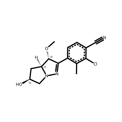 CO[C@@H]1C(c2ccc(C#N)c(Cl)c2C)=NN2C[C@@H](O)C[C@@H]12